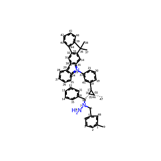 Cc1cccc(CN(N)C(c2ccccc2)[C@@H]2C(c3cccc(-n4c5ccccc5c5cc6c(cc54)C(C)(C)c4ccccc4-6)c3)[C@@H]2C)c1